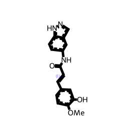 COc1ccc(/C=C/C(=O)Nc2ccc3[nH]ncc3c2)cc1O